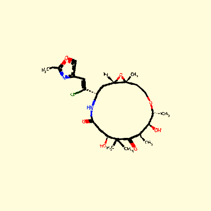 Cc1nc(C=C(Cl)[C@@H]2C[C@@H]3O[C@]3(C)CCO[C@H](C)[C@@H](O)[C@@H](C)C(=O)C(C)(C)[C@@H](O)CC(=O)N2)co1